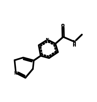 CNC(=O)c1ccc(C2=CCN=CC2)cn1